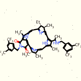 CC[C@H]1c2cc3[nH]c4c(c5nc(cc6[nH]c(cc(n2)[C@@H]1C)c(C(C)NCc1cc(C(F)(F)F)cc(C(F)(F)F)c1)c6C)[C@@H](C)[C@@H]5C)C(=O)N(Cc1cc(C(F)(F)F)cc(C(F)(F)F)c1)C(=O)c4c3C